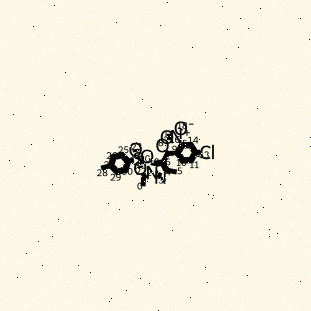 CCn1nc(C)c(C(=O)c2ccc(Cl)cc2[N+](=O)[O-])c1OS(=O)(=O)c1ccc(C)cc1